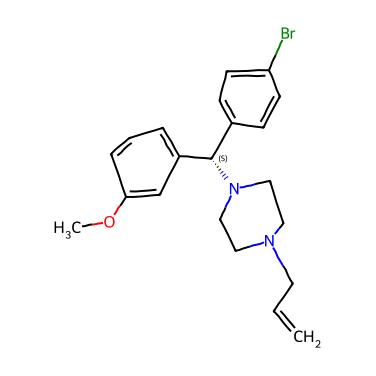 C=CCN1CCN([C@@H](c2ccc(Br)cc2)c2cccc(OC)c2)CC1